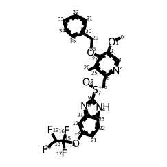 COc1cnc(C[S+]([O-])c2nc3cc(OC(F)(F)C(F)F)ccc3[nH]2)c(C)c1OCc1ccccc1